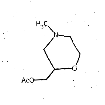 CC(=O)OCC1CN(C)CCO1